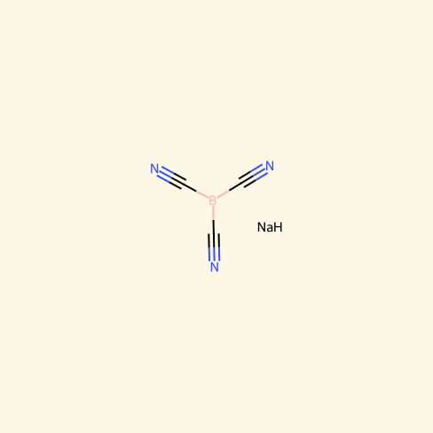 N#CB(C#N)C#N.[NaH]